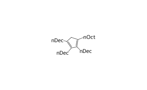 CCCCCCCCCCC1=C(CCCCCCCCCC)C(CCCCCCCCCC)=C(CCCCCCCC)C1